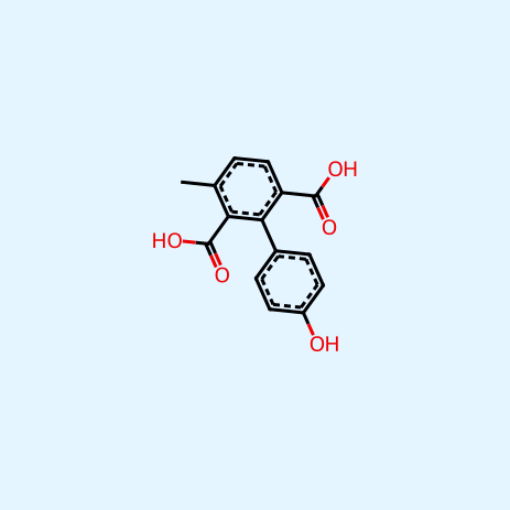 Cc1ccc(C(=O)O)c(-c2ccc(O)cc2)c1C(=O)O